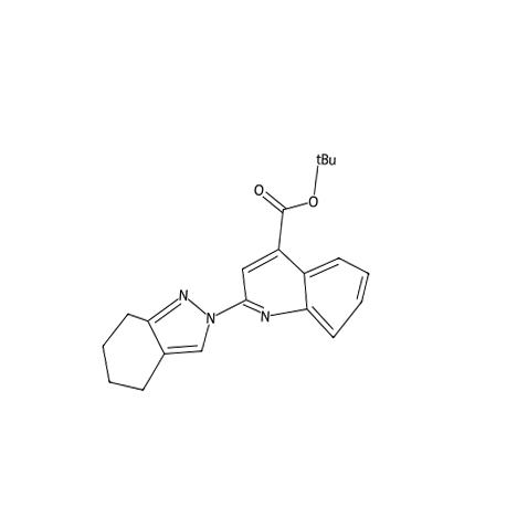 CC(C)(C)OC(=O)c1cc(-n2cc3c(n2)CCCC3)nc2ccccc12